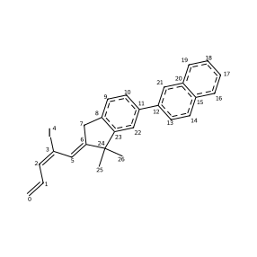 C=C/C=C(I)\C=C1/Cc2ccc(-c3ccc4ccccc4c3)cc2C1(C)C